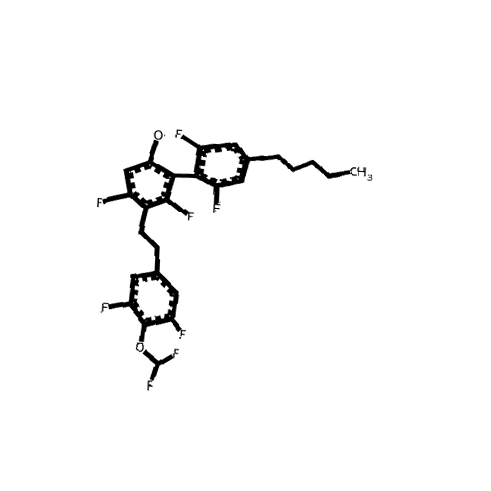 CCCCCc1cc(F)c(-c2c([O])cc(F)c(CCc3cc(F)c(OC(F)F)c(F)c3)c2F)c(F)c1